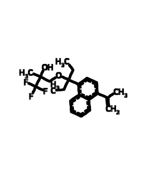 C=C(C)c1ccc(C(CC)(CC)OCC(C)(O)C(F)(F)F)c2ccccc12